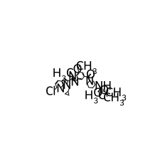 COc1cc(C(=O)N2CCCC(NC(=O)OC(C)(C)C)C2)cc2nc(-c3cc4ccc(Cl)nc4n3CC3CC3)n(C)c12